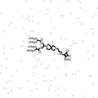 CCCCCCCC(CCCCCCC)C(=O)OCC(COC(=O)C(CCCCCCC)CCCCCCC)N1CCC2(CCN(CCCNc3c(NC)c(=O)c3=O)CC2)CC1